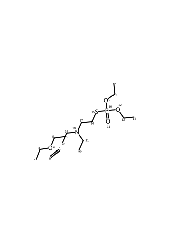 C=C.CCOCC.CCOP(=O)(OCC)SCCN(CC)CC